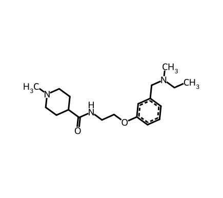 CCN(C)Cc1cccc(OCCNC(=O)C2CCN(C)CC2)c1